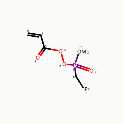 C=CC(=O)OOP(=O)(CC(C)C)OC